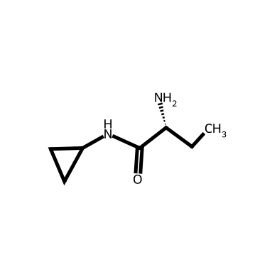 CC[C@@H](N)C(=O)NC1CC1